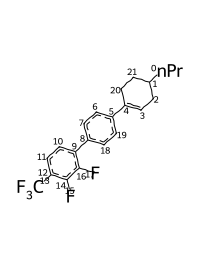 CCCC1CC=C(c2ccc(-c3ccc(C(F)(F)F)c(F)c3F)cc2)CC1